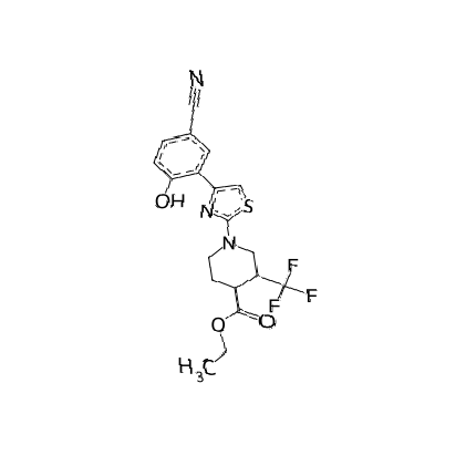 CCOC(=O)C1CCN(c2nc(-c3cc(C#N)ccc3O)cs2)CC1C(F)(F)F